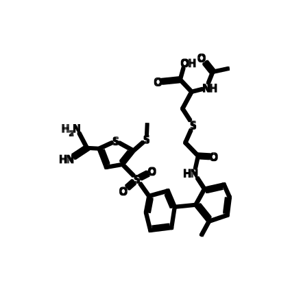 CSc1sc(C(=N)N)cc1S(=O)(=O)c1cccc(-c2c(C)cccc2NC(=O)CSCC(NC(C)=O)C(=O)O)c1